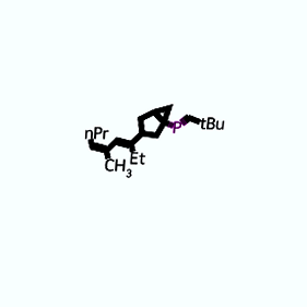 CCC/C=C(C)\C=C(/CC)C1CC2CC2(/P=C/C(C)(C)C)C1